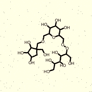 OCC(O)C(O)C(O)C(CO)OOCC1OC(COCC2(CO)CC(O)C(O)C2O)C(O)C(O)C1O